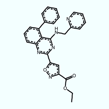 CCOC(=O)c1cc(-c2nc(NCc3ccccn3)c3c(-c4ccccc4)cccc3n2)on1